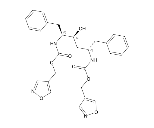 O=C(N[C@@H](Cc1ccccc1)C[C@H](O)[C@H](Cc1ccccc1)NC(=O)OCc1cnoc1)OCc1cnoc1